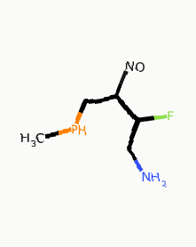 CPCC(N=O)C(F)CN